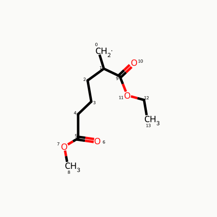 [CH2]C(CCCC(=O)OC)C(=O)OCC